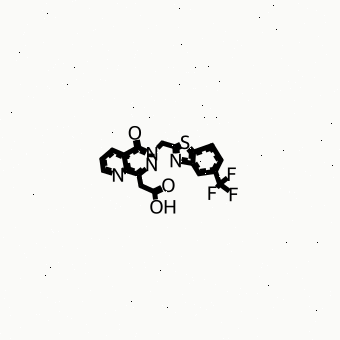 O=C(O)Cc1nn(Cc2nc3cc(C(F)(F)F)ccc3s2)c(=O)c2cccnc12